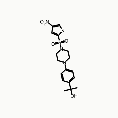 CC(C)(O)c1ccc(N2CCN(S(=O)(=O)c3cc([N+](=O)[O-])cs3)CC2)cc1